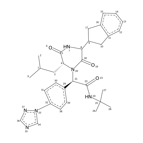 CC(C)C[C@@H]1C(=O)NC(C2Cc3ccccc3C2)C(=O)N1[C@@H](C(=O)NC(C)(C)C)c1ccc(-n2cncn2)cc1